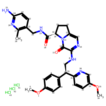 COc1ccc([C@@H](CNc2ncc3n(c2=O)[C@H](C(=O)NCc2ccc(N)nc2C)CC3)c2ccc(OC)cn2)cc1.Cl.Cl.Cl